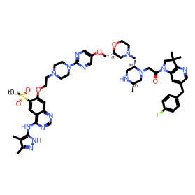 Cc1n[nH]c(Nc2ncnc3cc(OCCN4CCN(c5ncc(OC[C@H]6CN(C[C@H]7CN[C@H](C)CN7CC(=O)N7CC(C)(C)c8ncc(Cc9ccc(F)cc9)cc87)CCO6)cn5)CC4)c(S(=O)(=O)C(C)(C)C)cc23)c1C